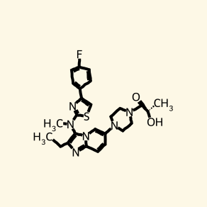 CCc1nc2ccc(N3CCN(C(=O)[C@H](C)O)CC3)cn2c1N(C)c1nc(-c2ccc(F)cc2)cs1